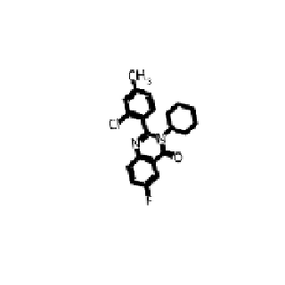 Cc1ccc(-c2nc3ccc(F)cc3c(=O)n2C2CCCCC2)c(Cl)c1